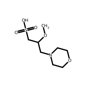 COC(CN1CCOCC1)CS(=O)(=O)O